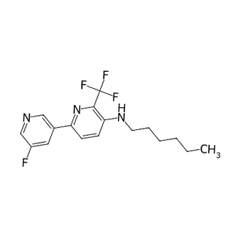 CCCCCCNc1ccc(-c2cncc(F)c2)nc1C(F)(F)F